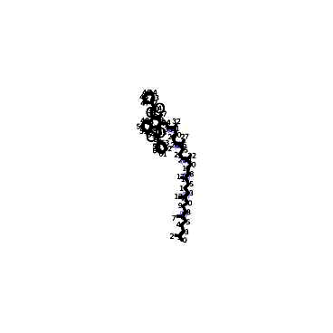 CC(C)=CCC/C(C)=C/CC/C(C)=C/CC/C(C)=C/CC/C(C)=C/CC/C(C)=C/CC/C(C)=C/Cc1c(C)c(OC(=O)c2ccccc2)c2ccccc2c1OC(=O)c1ccccc1